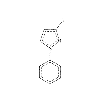 Ic1ccn(-c2ccccc2)n1